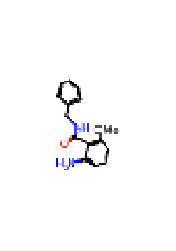 COc1cccc(N)c1C(=O)NCc1ccccc1